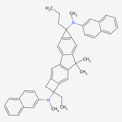 CCCC1(N(C)c2ccc3ccccc3c2)c2cc3c(cc21)C(C)(C)c1cc2c(cc1-3)CC2(CC)N(C)c1ccc2ccccc2c1